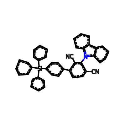 N#Cc1ccc(-c2ccc([Si](c3ccccc3)(c3ccccc3)c3ccccc3)cc2)c(C#N)c1-n1c2ccccc2c2ccccc21